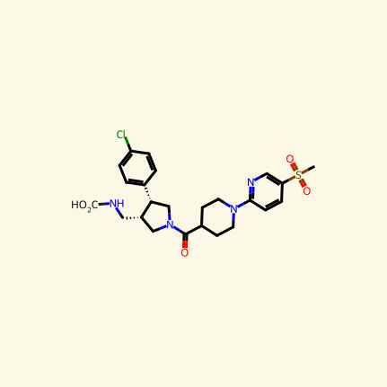 CS(=O)(=O)c1ccc(N2CCC(C(=O)N3C[C@H](CNC(=O)O)[C@H](c4ccc(Cl)cc4)C3)CC2)nc1